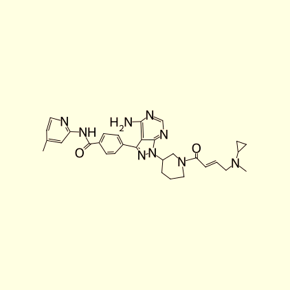 Cc1ccnc(NC(=O)c2ccc(-c3nn(C4CCCN(C(=O)C=CCN(C)C5CC5)C4)c4ncnc(N)c34)cc2)c1